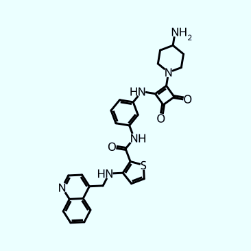 NC1CCN(c2c(Nc3cccc(NC(=O)c4sccc4NCc4ccnc5ccccc45)c3)c(=O)c2=O)CC1